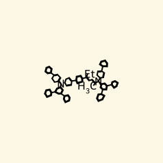 CC/C(=C\C=C(/C)N(c1cc(-c2ccccc2)cc(-c2ccccc2)c1)C1C=CC(c2ccccc2)=CC1)c1ccc(C2=CCC(N(C3=CC=C(c4ccccc4)CC3)c3cc(-c4ccccc4)cc(-c4ccccc4)c3)C=C2)cc1